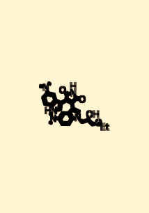 CCOCC(O)Cn1cc(C2=C(c3c[nH]c4ccc(N(C)C)cc34)C(=O)NC2=O)c2cc(N(C)C)ccc21